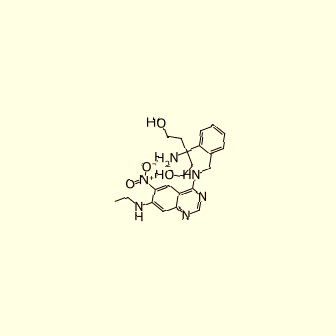 CCNc1cc2ncnc(NCc3ccccc3C(N)(CCO)CCO)c2cc1[N+](=O)[O-]